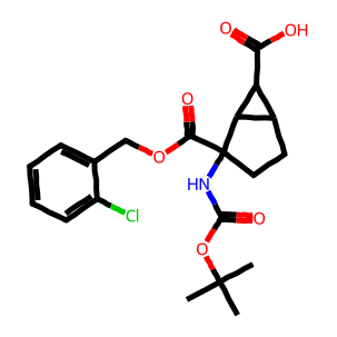 CC(C)(C)OC(=O)NC1(C(=O)OCc2ccccc2Cl)CCC2C(C(=O)O)C21